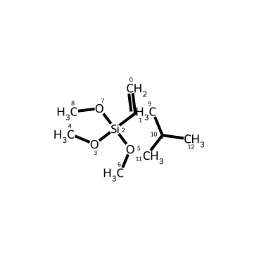 C=C[Si](OC)(OC)OC.C[C](C)C